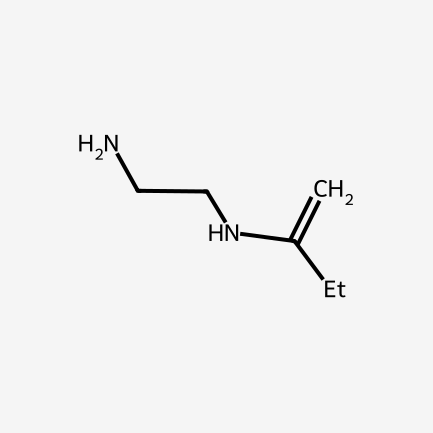 C=C(CC)NCCN